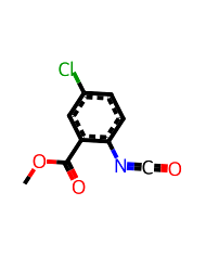 COC(=O)c1cc(Cl)ccc1N=C=O